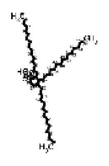 CCCCCCCCCCCCCCCCc1ccc(S(=O)(=O)O)c(CCCCCCCCCCCCCCCC)c1CCCCCCCCCCCCCCCC